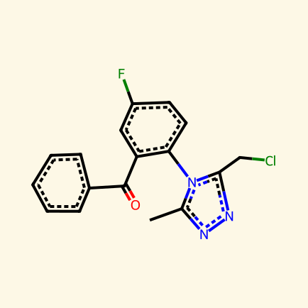 Cc1nnc(CCl)n1-c1ccc(F)cc1C(=O)c1ccccc1